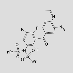 C=Nc1cc(C(=O)c2c(F)c(F)cc(N(S(=O)(=O)CCC)S(=O)(=O)CCC)c2F)ccc1/N=C\C